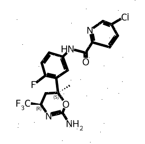 C[C@@]1(c2cc(NC(=O)c3ccc(Cl)cn3)ccc2F)C[C@H](C(F)(F)F)N=C(N)O1